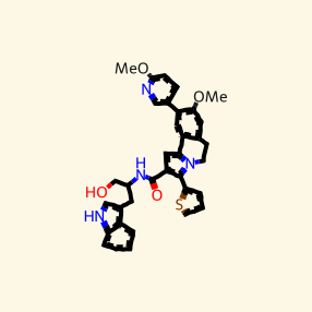 COc1ccc(-c2cc3c(cc2OC)CCn2c-3cc(C(=O)NC(CO)Cc3c[nH]c4ccccc34)c2-c2cccs2)cn1